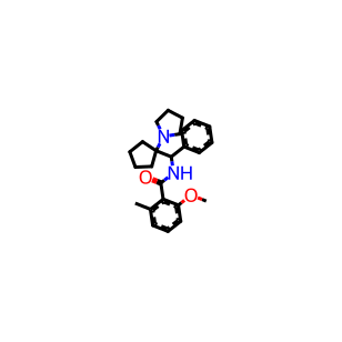 COc1cccc(C)c1C(=O)NC(c1ccccc1)C1(N2CCCC2)CCCC1